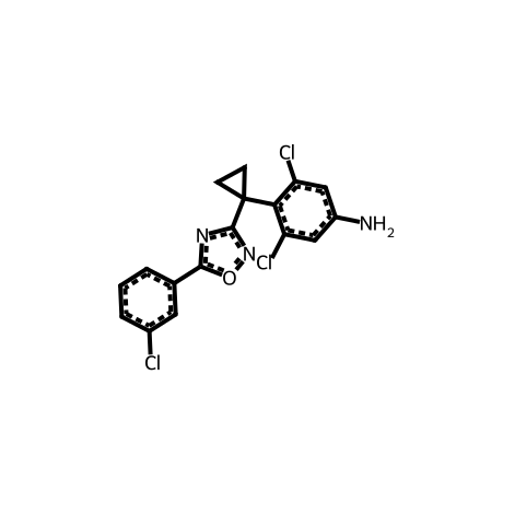 Nc1cc(Cl)c(C2(c3noc(-c4cccc(Cl)c4)n3)CC2)c(Cl)c1